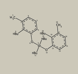 CCCCc1c(C)cccc1[O][Sn]([CH2]CCC)([CH2]CCC)[O]c1cccc(C)c1CCCC